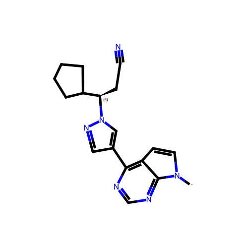 [CH2]n1ccc2c(-c3cnn([C@H](CC#N)C4CCCC4)c3)ncnc21